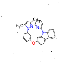 Cc1cc(C)n(-c2cccc(Oc3ccc4c5ccccc5n(-c5ccccn5)c4c3)c2)n1